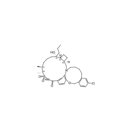 CCC[C@]1(O)CCC[C@H](C)[C@@H](C)S(=O)(=O)NC(=O)c2ccc3c(c2)N(CCCCc2cc(Cl)ccc2CO3)C[C@@H]2CC[C@H]21